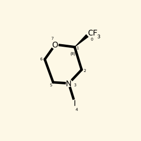 FC(F)(F)[C@H]1CN(I)CCO1